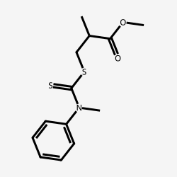 COC(=O)C(C)CSC(=S)N(C)c1ccccc1